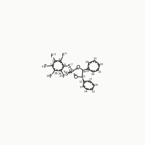 Fc1c(F)c(F)c(SP2(=S)O[C@H](c3ccccc3)[C@H](c3ccccc3)O2)c(F)c1F